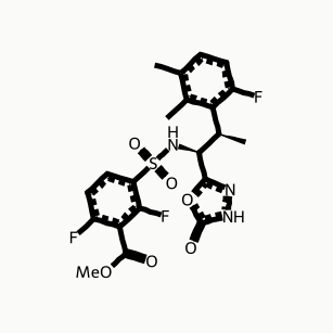 COC(=O)c1c(F)ccc(S(=O)(=O)N[C@H](c2n[nH]c(=O)o2)[C@H](C)c2c(F)ccc(C)c2C)c1F